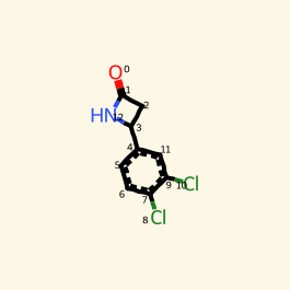 O=C1CC(c2ccc(Cl)c(Cl)c2)N1